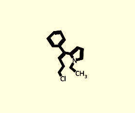 CCn1cccc1C(=CCCCl)c1ccccc1